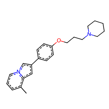 Cc1cccn2cc(-c3ccc(OCCCN4CCCCC4)cc3)cc12